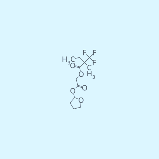 CCC(C)(C(=O)OCC(=O)OC1CCCO1)C(F)(F)F